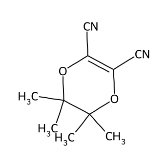 CC1(C)OC(C#N)=C(C#N)OC1(C)C